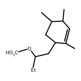 CCC(CC1CC(C)C(C)C=C1C)OC(=O)O